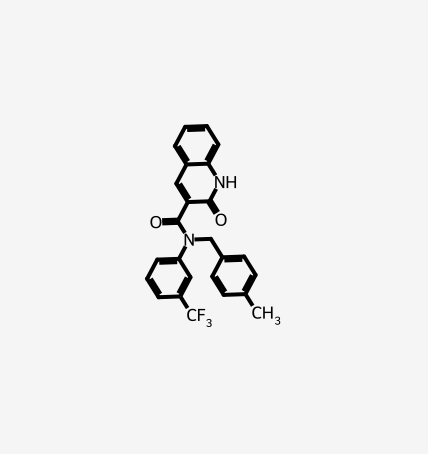 Cc1ccc(CN(C(=O)c2cc3ccccc3[nH]c2=O)c2cccc(C(F)(F)F)c2)cc1